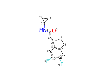 O=C(C=C1CCc2cc(F)c(F)cc21)NC1CC1